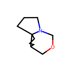 C1CC2COCN3CCCC23C1